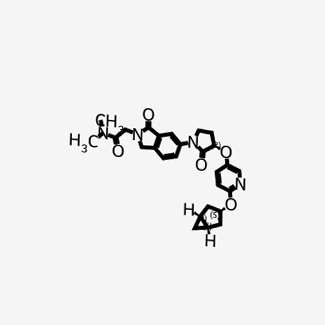 CN(C)C(=O)CN1Cc2ccc(N3CC[C@@H](Oc4ccc(O[C@H]5C[C@@H]6C[C@@H]6C5)nc4)C3=O)cc2C1=O